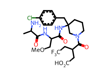 COCC(NC(=O)C(C)N)C(=O)NC1(Cc2ccc(Cl)cc2)CCCN(C(=O)C(CC(=O)O)CC(F)(F)F)C1